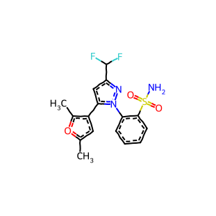 Cc1cc(-c2cc(C(F)F)nn2-c2ccccc2S(N)(=O)=O)c(C)o1